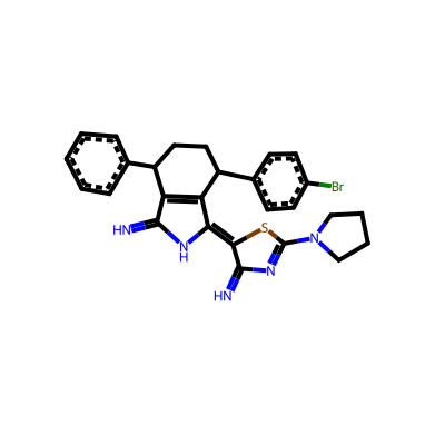 N=C1N=C(N2CCCC2)SC1=C1NC(=N)C2=C1C(c1ccc(Br)cc1)CCC2c1ccccc1